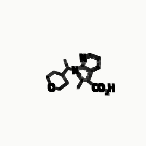 Cc1c(C(=O)O)c2cccnc2n1C(C)C1CCOCC1